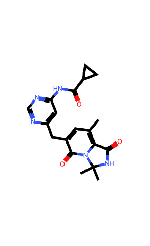 Cc1cc(Cc2cc(NC(=O)C3CC3)ncn2)c(=O)n2c1C(=O)NC2(C)C